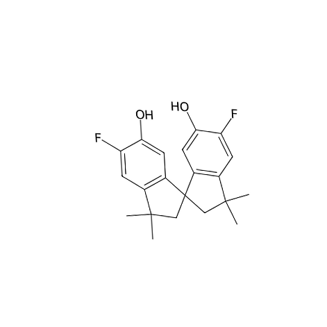 CC1(C)CC2(CC(C)(C)c3cc(F)c(O)cc32)c2cc(O)c(F)cc21